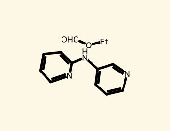 CCOC=O.c1ccc(Nc2cccnc2)nc1